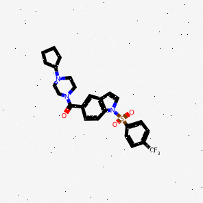 O=C(c1ccc2c(ccn2S(=O)(=O)c2ccc(C(F)(F)F)cc2)c1)N1CCN(C2CCCC2)CC1